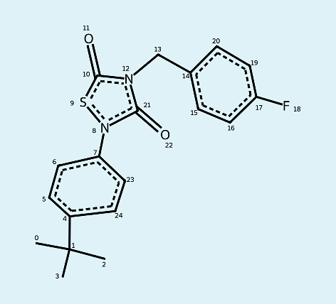 CC(C)(C)c1ccc(-n2sc(=O)n(Cc3ccc(F)cc3)c2=O)cc1